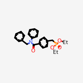 CCOP(=O)(Cc1ccc(C(=O)N(Cc2ccccc2)c2ccccc2)cc1)OCC